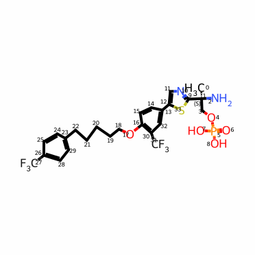 C[C@](N)(COP(=O)(O)O)c1ncc(-c2ccc(OCCCCCc3ccc(C(F)(F)F)cc3)c(C(F)(F)F)c2)s1